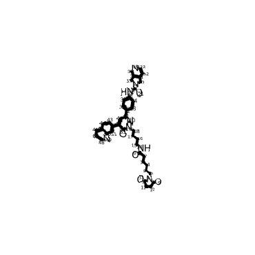 O=C(CCCCCN1C(=O)C=CC1=O)NCCCCn1nc(-c2ccc(NC(=O)N3Cc4ccncc4C3)cc2)cc(-c2ccc3cccnc3c2)c1=O